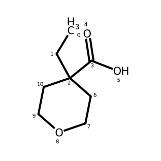 CCC1(C(=O)O)CCOCC1